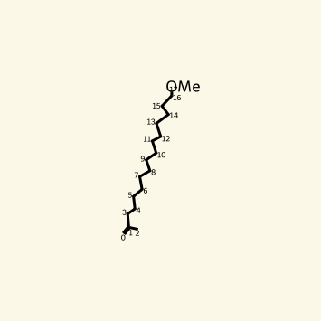 C=C(C)CCCCCCCCCCCCCCOC